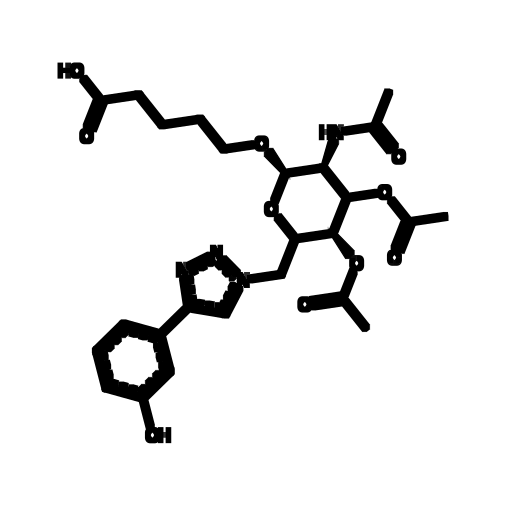 CC(=O)N[C@H]1C(OC(C)=O)[C@@H](OC(C)=O)C(Cn2cc(-c3cccc(O)c3)nn2)O[C@H]1OCCCCC(=O)O